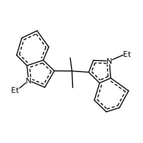 CCn1cc(C(C)(C)c2cn(CC)c3ccccc23)c2ccccc21